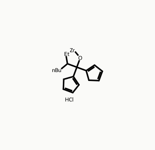 CCCCC(CC)C([O][Zr])(C1=CC=CC1)C1=CC=CC1.Cl